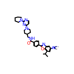 [C-]#[N+]c1cc(C(C)C)c2oc(-c3ccc(C(=O)NCC4CCN(c5ccnc(N6CCCCC6)n5)CC4)cc3)nc2c1